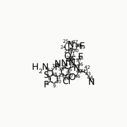 N#Cc1c(N)sc2c(F)ccc(-c3c(Cl)c4c5c(nc(OC[C@@]67CCCN6C[C@H](F)C7)nc5c3F)N(CC(F)F)[C@@H](C3CC3C#N)CO4)c12